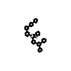 c1ccc(-c2ccc(-c3cccc(-c4cccc(-c5nc(-c6cccc(-c7cc(-c8ccccc8)cc(-c8ccccc8)c7)c6)c6sc7ccccc7c6n5)c4)c3)cc2)cc1